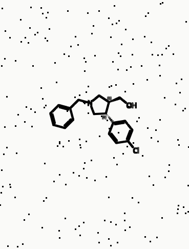 OC[C@@H]1CN(Cc2ccccc2)C[C@H]1c1ccc(Cl)cc1